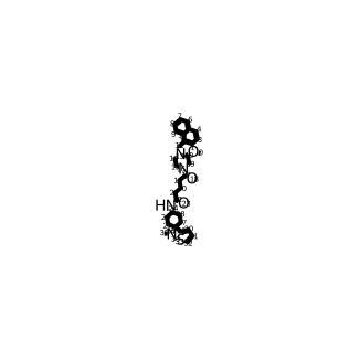 COc1ccc2ccccc2c1CN1CCN(C(=O)CCCC(=O)NC2CCC(c3cccs3)(N(C)C)CC2)CC1